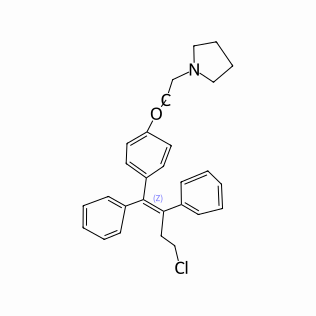 ClCC/C(=C(\c1ccccc1)c1ccc(OCCN2CCCC2)cc1)c1ccccc1